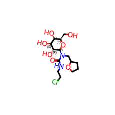 O=C(NCCCl)N(CC1CCCO1)[C@@H]1O[C@H](CO)[C@@H](O)[C@H](O)[C@H]1O